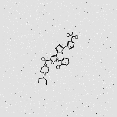 CCC(CC)N1CCN(C(=O)c2cc(-c3ccc(-c4cccc(S(C)(=O)=O)c4)s3)n(-c3ccccc3Cl)n2)CC1